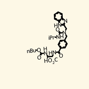 CCCCOC(=O)N[C@@H](CNC(=O)c1ccc(CN(Cc2nc3ccccc3[nH]2)C(=O)NC(C)C)cc1)C(=O)O